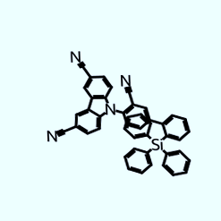 N#Cc1ccc2c(c1)c1cc(C#N)ccc1n2-c1ccc(-c2ccccc2[Si](c2ccccc2)(c2ccccc2)c2ccccc2)cc1C#N